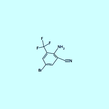 N#Cc1cc(Br)cc(C(F)(F)F)c1N